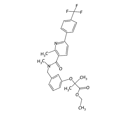 CCOC(=O)C(C)(C)Oc1cccc(CN(C)C(=O)c2ccc(-c3ccc(C(F)(F)F)cc3)nc2C)c1